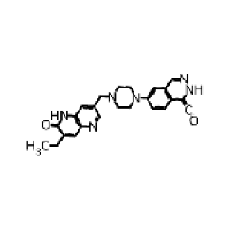 CCc1cc2ncc(CN3CCN(c4ccc5c(c4)C=NNC5=C=O)CC3)cc2[nH]c1=O